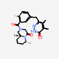 Cc1c(Cc2ccc(F)c(C(=O)N3CC(=O)N4[C@H](CCC[C@H]4C)C3)c2)n[nH]c(=O)c1C